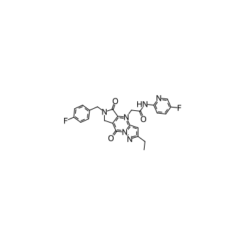 CCc1cc2n(CC(=O)Nc3ccc(F)cn3)c3c(c(=O)n2n1)CN(Cc1ccc(F)cc1)C3=O